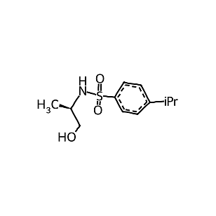 CC(C)c1ccc(S(=O)(=O)N[C@H](C)CO)cc1